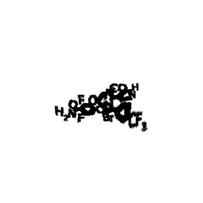 NC(=O)c1c(F)ccc(OC(CN(Cc2ccncc2)C(=O)O)c2nc(-c3ccc(C(F)(F)F)cc3)c(Br)o2)c1F